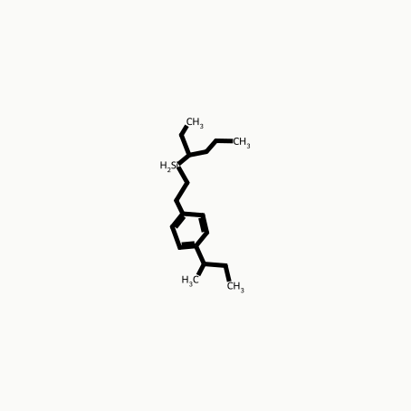 CCCC(CC)[SiH2]CCc1ccc(C(C)CC)cc1